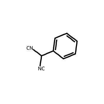 [C-]#[N+]C([N+]#[C-])c1ccccc1